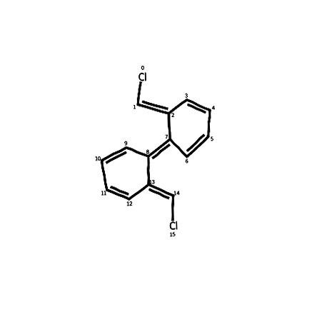 Cl\C=c1/cccc/c1=c1/cccc/c1=C\Cl